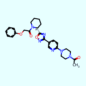 CC(=O)N1CCN(c2ccc(-c3noc([C@H]4CCCCN4C(=O)COc4ccccc4)n3)cn2)CC1